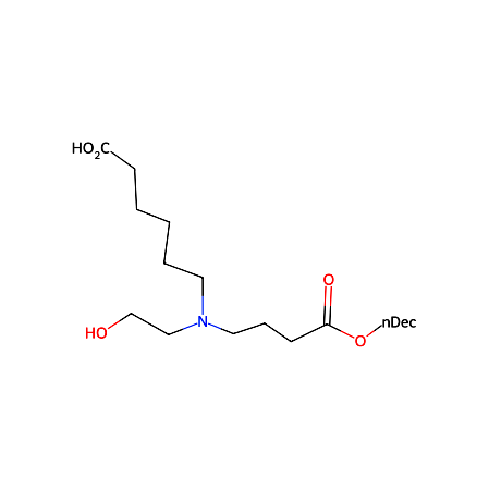 CCCCCCCCCCOC(=O)CCCN(CCO)CCCCCC(=O)O